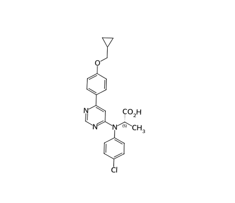 C[C@@H](C(=O)O)N(c1ccc(Cl)cc1)c1cc(-c2ccc(OCC3CC3)cc2)ncn1